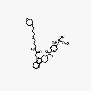 COc1ccc(S(=O)(=O)N2CCc3c(n(CC(=O)NCCCSCCCN4CCOCC4)c4ccccc34)C2)cc1.O=CNO